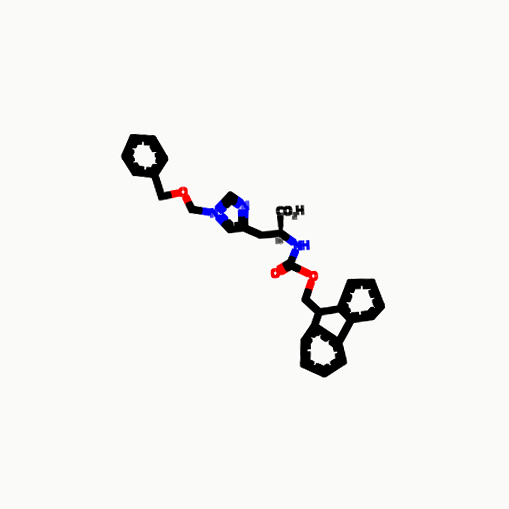 O=C(N[C@@H](Cc1cn(COCc2ccccc2)cn1)C(=O)O)OCC1c2ccccc2-c2ccccc21